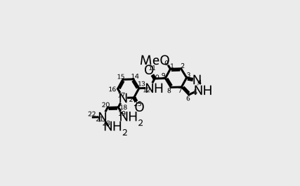 COc1cc2n[nH]cc2cc1C(=O)Nc1cccn(/C(N)=C/N(C)N)c1=O